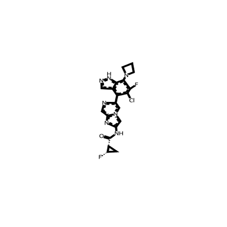 O=C(Nc1cn2cc(-c3c(Cl)c(F)c(N4CCC4)c4[nH]ncc34)ncc2n1)[C@@H]1C[C@@H]1F